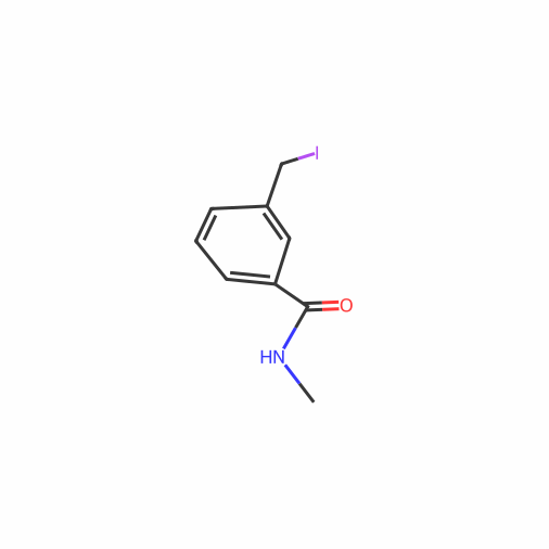 CNC(=O)c1cccc(CI)c1